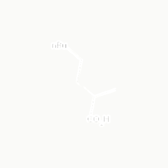 [CH2]CCCCCC(C)C(=O)O